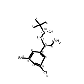 CC(C)(C)[S@@+]([O-])N[C@@H](CN)c1cc(Cl)cc(Br)c1